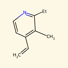 C=Cc1ccnc(CC)c1C